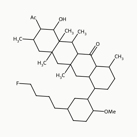 COC1CCC(CCCCF)CC1C1CCC(C)C2C(=O)C3C(C)C4(C)C(O)C(C(C)=O)C(C)CC4(C)CC3(C)CC12